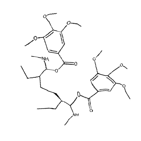 CCC(CC[C@H](CC)C(NC)OC(=O)c1cc(OC)c(OC)c(OC)c1)C(NC)OC(=O)c1cc(OC)c(OC)c(OC)c1